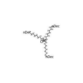 CCCCCCCCCCCCCCCCC[CH2][Pb]([Cl])([CH2]CCCCCCCCCCCCCCCCC)[CH2]CCCCCCCCCCCCCCCCC